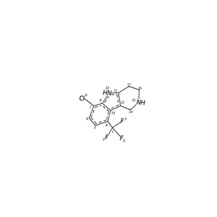 FC(F)(F)c1ccc(Cl)c2[nH]c3c(c12)CNCC3